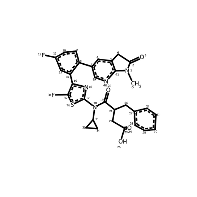 CN1C(=O)Cc2cc(-c3ccc(F)cc3-c3nc(N(C(=O)C(CC(=O)O)Cc4ccccc4)C4CC4)sc3F)cnc21